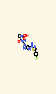 O=C(NCCn1cnc2cnc(Nc3ncc(-c4ccc(F)cc4)s3)cc21)[C@@H]1CCCN1C(=O)O